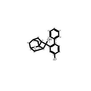 OC1(c2cc(Cl)ccc2-c2ccccc2)C2CC3CC4CC1C2(C3)C4